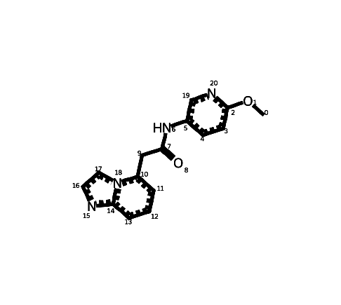 COc1ccc(NC(=O)Cc2cccc3nccn23)cn1